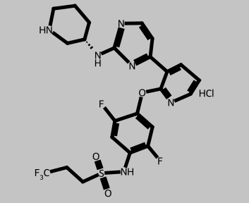 Cl.O=S(=O)(CCC(F)(F)F)Nc1cc(F)c(Oc2ncccc2-c2ccnc(N[C@H]3CCCNC3)n2)cc1F